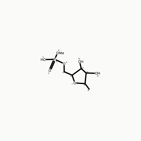 COP(=O)(O)OCC1OC(C)C(O)C1O